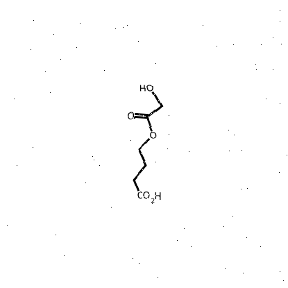 O=C(O)CCCOC(=O)CO